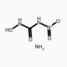 N.O=C(NO)N[N+](=O)[O-]